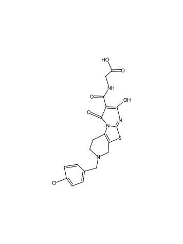 O=C(O)CNC(=O)c1c(O)nc2sc3c(n2c1=O)CCN(Cc1ccc(Cl)cc1)C3